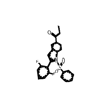 CCC(=O)c1ccc2c(c1)cc(-c1c(F)cccc1F)n2S(=O)(=O)c1ccccc1